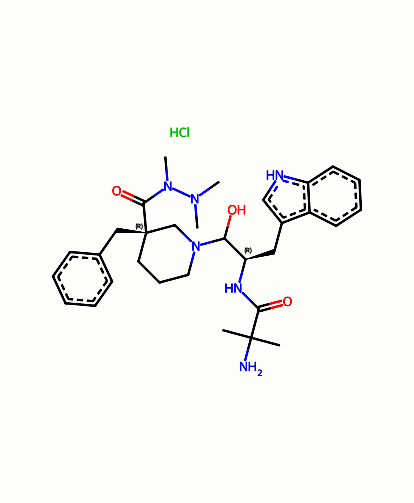 CN(C)N(C)C(=O)[C@@]1(Cc2ccccc2)CCCN(C(O)[C@@H](Cc2c[nH]c3ccccc23)NC(=O)C(C)(C)N)C1.Cl